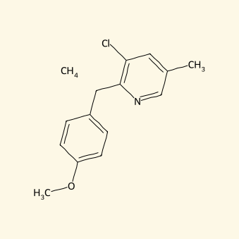 C.COc1ccc(Cc2ncc(C)cc2Cl)cc1